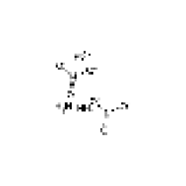 N.N.O=[N+]([O-])[O-].O=[N+]([O-])[O-].[Pt+2]